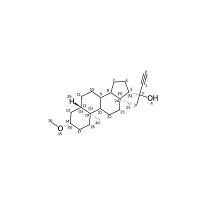 C#CC(C)(O)[C@H]1CCC2C3CC[C@H]4C[C@@H](OC)CC[C@]4(C)C3CC[C@@]21C